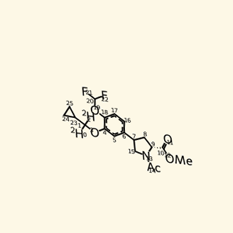 [2H]C([2H])(Oc1cc(C2C[C@H](C(=O)OC)N(C(C)=O)C2)ccc1OC(F)F)C1CC1